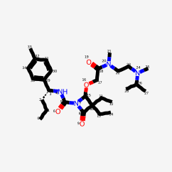 CCC[C@@H](NC(=O)N1C(=O)C(CC)(CC)C1OCC(=O)N(C)CCN(C)C(C)C)c1ccc(C)cc1